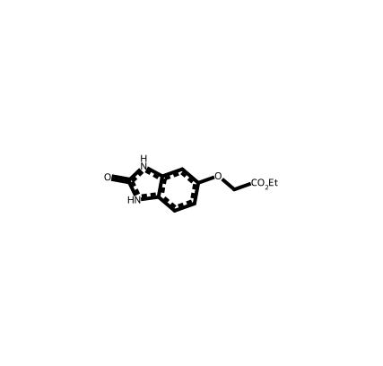 CCOC(=O)COc1ccc2[nH]c(=O)[nH]c2c1